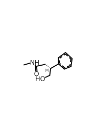 CNC(=O)C[C@@H](CO)c1ccccc1